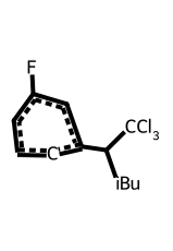 CCC(C)C(c1cccc(F)c1)C(Cl)(Cl)Cl